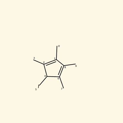 CC1=C(C)C(I)C(C)=C1C